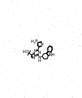 CC(C)(O)c1cnn2c(N[C@@H]3CCc4[nH]c5ccccc5c4C3)nc(-c3cncc(P)c3)nc12